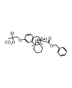 CCC(C)(COc1ccc2c(c1)[C@@]13CCCC[C@H]1[C@@H](C2)N(C(=O)OCc1ccccc1)CC3)C(=O)O